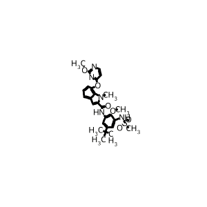 COc1nccc(Oc2cccc3cc(C(=O)Nc4cc(C(C)(C)C)cc(NS(C)(=O)=O)c4OC)n(C)c23)n1